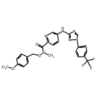 COc1ccc(CON(C)C(=O)c2ccc(Nc3ncn(-c4ccc(C(F)(F)F)cc4)n3)cn2)cc1